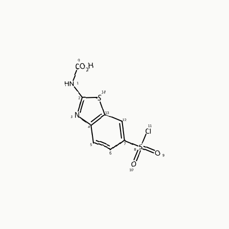 O=C(O)Nc1nc2ccc(S(=O)(=O)Cl)cc2s1